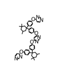 CC1CC(C)(C)CC(c2ccc(Oc3ccncn3)cc2)(c2ccc(Oc3cc(Oc4ccc(C5(c6ccc(Oc7ccncn7)cc6)CC(C)CC(C)(C)C5)cc4)ncn3)cc2)C1